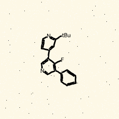 CC(C)(C)c1cc(-c2cncc(-c3cc[c]cc3)c2F)ccn1